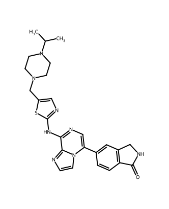 CC(C)N1CCN(Cc2cnc(Nc3ncc(-c4ccc5c(c4)CNC5=O)n4ccnc34)s2)CC1